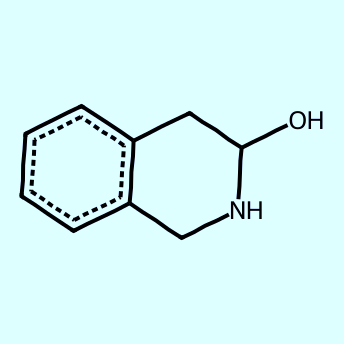 OC1Cc2ccccc2CN1